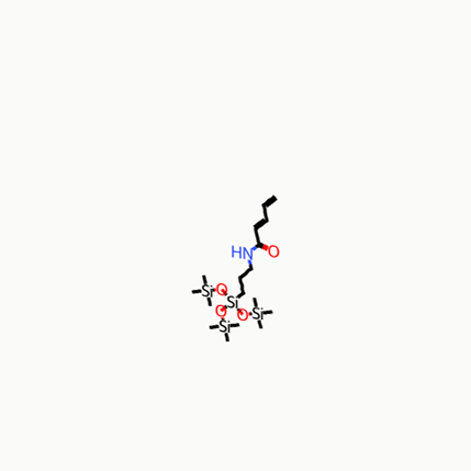 C=CC=CC(=O)NCCC[Si](O[Si](C)(C)C)(O[Si](C)(C)C)O[Si](C)(C)C